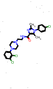 Cc1nc(C(=O)NCCN2CCN(c3cccc(Cl)c3Cl)CC2)c(C)n1-c1ccc(Cl)cc1